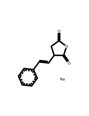 O=C1CC(C=Cc2ccccc2)C(=O)O1.[Na]